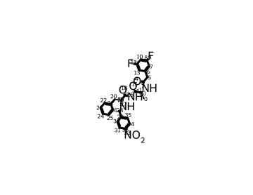 C[C@H](NC(=O)Cc1cc(F)cc(F)c1)C(=O)NC(=O)[C@H](Cc1ccccc1)NCc1ccc([N+](=O)[O-])cc1